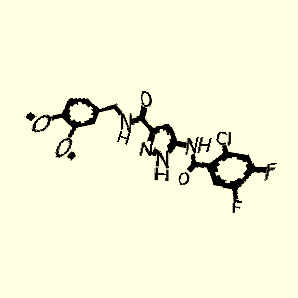 COc1ccc(CNC(=O)c2cc(NC(=O)c3cc(F)c(F)cc3Cl)[nH]n2)cc1OC